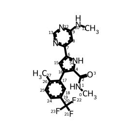 CNC(=O)c1[nH]c(-c2cc(NC)ncn2)cc1-c1cc(C(F)(F)F)ccc1C